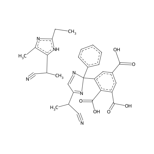 CC(C#N)C1=NC(c2ccccc2)(c2cc(C(=O)O)cc(C(=O)O)c2C(=O)O)N=C1.CCc1nc(C)c(C(C)C#N)[nH]1